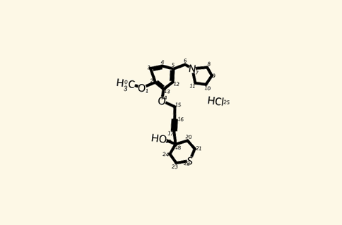 COc1ccc(CN2CCCC2)cc1OCC#CC1(O)CCSCC1.Cl